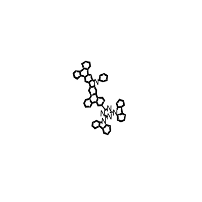 c1ccc(-n2c3cc4c5ccccc5c5ccccc5c4cc3c3cc4c5ccccc5c5cc(-c6nc(-n7c8ccccc8c8ccccc87)nc(-n7c8ccccc8c8ccccc87)n6)ccc5c4cc32)cc1